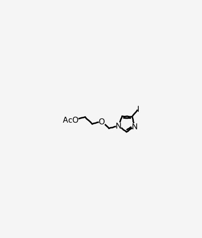 CC(=O)OCCOCn1cnc(I)c1